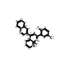 CC12N=C(c3cc(Cl)ccc3F)C=C(c3cnc4ccccc4c3)C1=CC=CN2